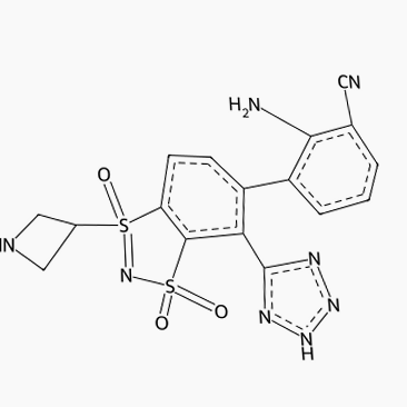 N#Cc1cccc(-c2ccc3c(c2-c2nn[nH]n2)S(=O)(=O)N=S3(=O)C2CNC2)c1N